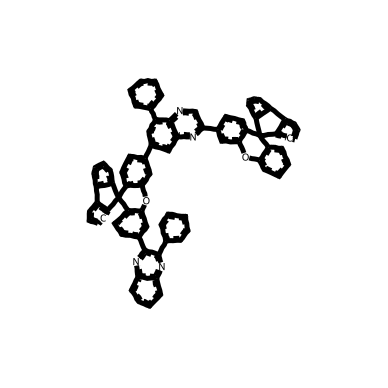 c1ccc(-c2nc3ccccc3nc2-c2ccc3c(c2)Oc2cc(-c4cc(-c5ccccc5)c5ncc(-c6ccc7c(c6)Oc6ccccc6C76c7ccccc7-c7ccccc76)nc5c4)ccc2C32c3ccccc3-c3ccccc32)cc1